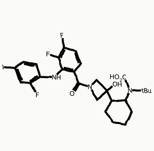 CC(C)(C)N(C(=O)O)C1CCCCC1C1(O)CN(C(=O)c2ccc(F)c(F)c2Nc2ccc(I)cc2F)C1